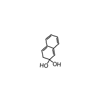 OC1(O)C=c2ccccc2=CC1